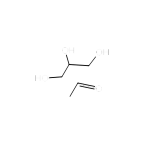 CC=O.OCC(O)CO